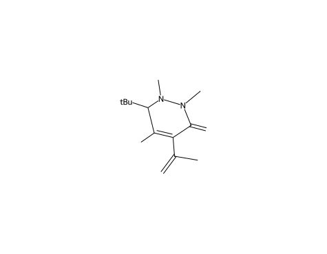 C=C(C)C1=C(C)C(C(C)(C)C)N(C)N(C)C1=C